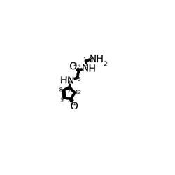 NCNC(=O)CNC1C=CC(=O)C1